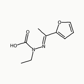 CCN(N=C(C)c1ccco1)C(=O)O